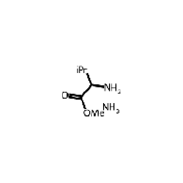 COC(=O)C(N)C(C)C.N